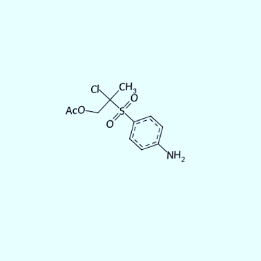 CC(=O)OCC(C)(Cl)S(=O)(=O)c1ccc(N)cc1